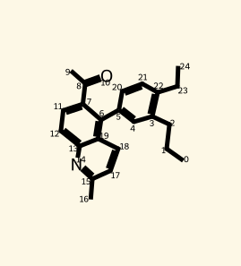 CCCc1cc(-c2c(C(C)=O)ccc3nc(C)ccc23)ccc1CC